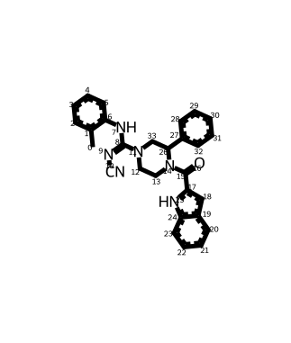 Cc1ccccc1N/C(=N/C#N)N1CCN(C(=O)c2cc3ccccc3[nH]2)C(c2ccccc2)C1